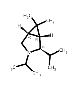 CC(C)[C@@H]1[C@@H]2[C@H](CN1C(C)C)C2(C)C